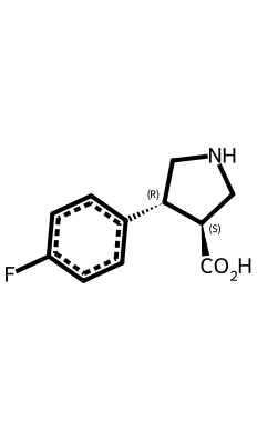 O=C(O)[C@@H]1CNC[C@H]1c1ccc(F)cc1